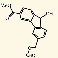 COC(=O)c1ccc2c(c1)-c1cc(COC=O)ccc1C2O